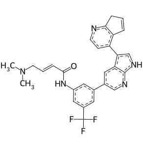 CN(C)C/C=C/C(=O)Nc1cc(-c2cnc3[nH]cc(-c4ccnc5c4C=CC5)c3c2)cc(C(F)(F)F)c1